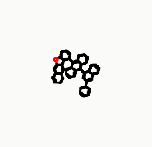 C1=Cc2cc3oc4cccc(-c5c6ccccc6c(-c6cc(-c7ccccc7)cc7ccccc67)c6ccccc56)c4c3cc2CC1